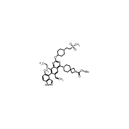 C=Cc1cc2c(N3CCC4(CC3)CN(C(=O)OC(C)(C)C)C4)nc(OC3CCN(CCS(C)(=O)=O)CC3)nc2c(OCC(F)(F)F)c1-c1c(C)ccc2[nH]ncc12